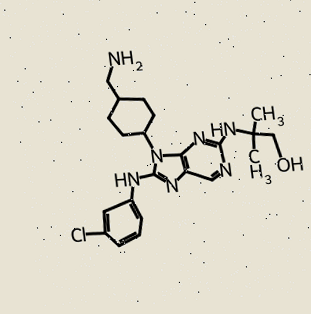 CC(C)(CO)Nc1ncc2nc(Nc3cccc(Cl)c3)n(C3CCC(CN)CC3)c2n1